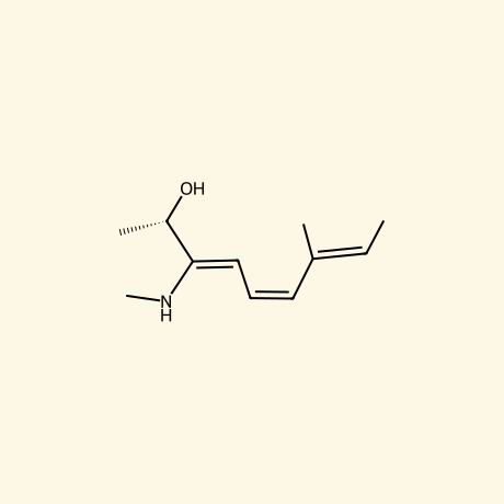 C/C=C(C)/C=C\C=C(/NC)[C@H](C)O